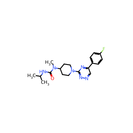 CC(C)NC(=O)N(C)C1CCN(c2nncc(-c3ccc(F)cc3)n2)CC1